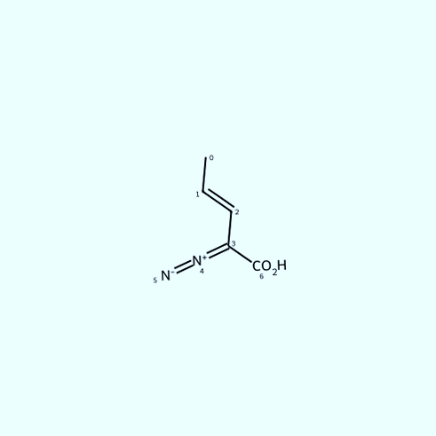 CC=CC(=[N+]=[N-])C(=O)O